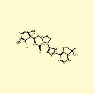 CC1(O)CCc2c(-c3cnc([C@@H]4CCC5CC(c6c(N)ccc(Cl)c6F)=CC(=O)N54)[nH]3)ccnc21